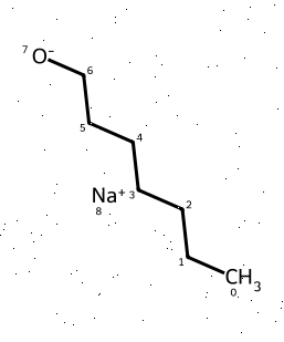 CCCCCCC[O-].[Na+]